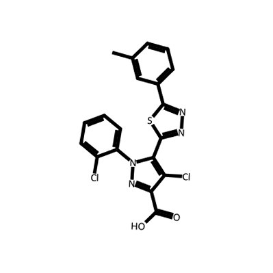 Cc1cccc(-c2nnc(-c3c(Cl)c(C(=O)O)nn3-c3ccccc3Cl)s2)c1